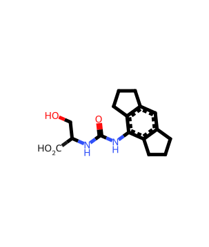 O=C(Nc1c2c(cc3c1CCC3)CCC2)NC(CO)C(=O)O